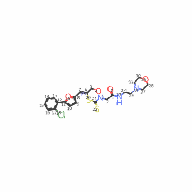 O=C(CN1OC/C(=C/c2ccc(-c3ccccc3Cl)o2)SC1=S)NCCN1CCOCC1